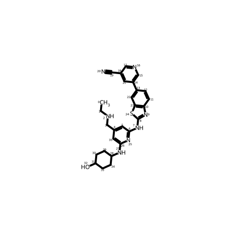 CCNCc1cc(Nc2nc3ccc(-c4cncc(C#N)c4)cc3s2)nc(NC2CCC(O)CC2)c1